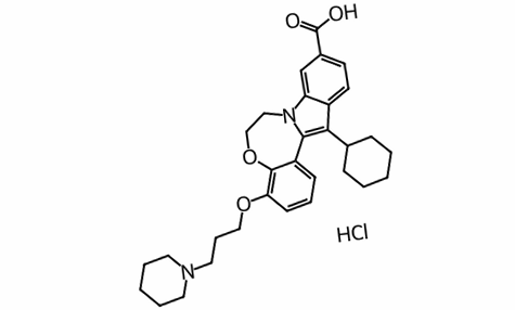 Cl.O=C(O)c1ccc2c(C3CCCCC3)c3n(c2c1)CCOc1c(OCCCN2CCCCC2)cccc1-3